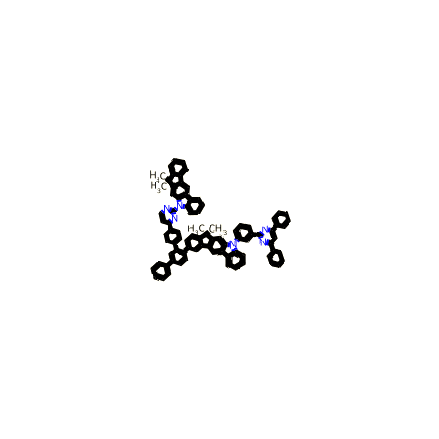 CC1(C)c2ccc(-c3ccc(-c4ccccc4)cc3-c3ccc(-c4ccnc(-n5c6ccccc6c6cc7c(cc65)C(C)(C)c5ccccc5-7)n4)cc3)cc2-c2cc3c4ccccc4n(-c4cccc(-c5nc(-c6ccccc6)cc(-c6ccccc6)n5)c4)c3cc21